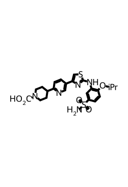 CC(C)Oc1ccc(S(N)(=O)=O)cc1Nc1nc(-c2ccc(C3CCN(C(=O)O)CC3)nc2)cs1